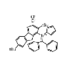 CC(C)(C)c1ccc2c(c1)Cc1c-2ccc(C(C)(C)C)[c]1[Ti+2](=[C](c1ccccc1)c1ccccc1)[CH]1C=CC=C1.[Cl-].[Cl-]